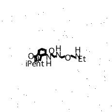 CCCC(C)N1Cc2c(NC(=O)CNCCOCCNCC)cccc2C1=O